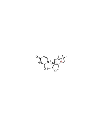 CC(C)[C@@]12CO[C@@H]([C@H](n3ccc(=O)[nH]c3=O)O1)[C@@H]2O[Si](C)(C)C(C)(C)C